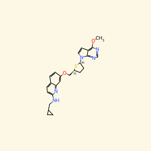 COc1ncnc2c1ccn2[C@H]1CC[C@@H](COc2ccc3ccc(NCC4CC4)nc3c2)S1